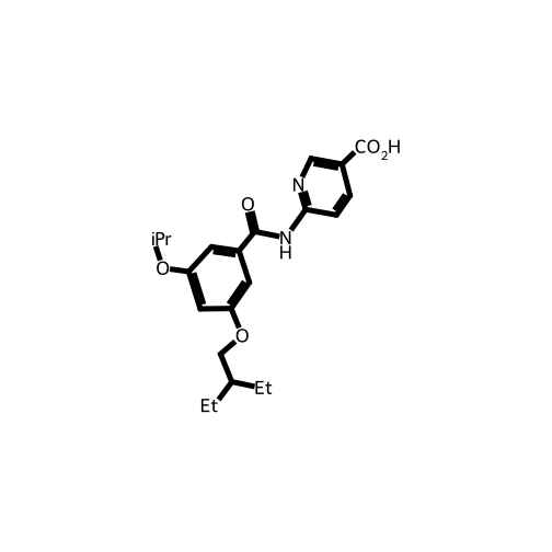 CCC(CC)COc1cc(OC(C)C)cc(C(=O)Nc2ccc(C(=O)O)cn2)c1